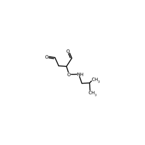 CC(C)CNOC(C=O)CC=O